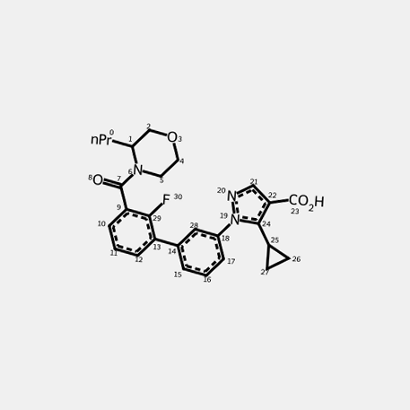 CCCC1COCCN1C(=O)c1cccc(-c2cccc(-n3ncc(C(=O)O)c3C3CC3)c2)c1F